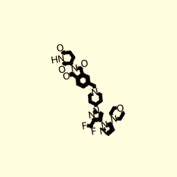 O=C1CCC(N2C(=O)c3ccc(CN4CCC(n5cc(-n6nccc6N6CCOCC6)c(C(F)F)n5)CC4)cc3C2=O)C(=O)N1